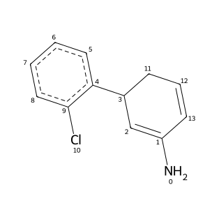 NC1=CC(c2ccccc2Cl)CC=C1